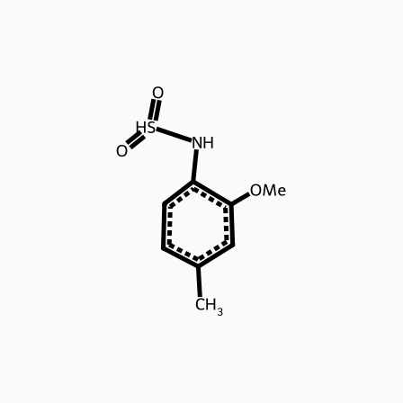 COc1cc(C)ccc1N[SH](=O)=O